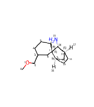 COCC1CCC[C@]2(C1)[C@@H]1CC[C@@H](C1)[C@H]2N